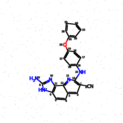 N#Cc1cc2ccc3[nH]c(N)nc3c2nc1Nc1ccc(Oc2ccccc2)cc1